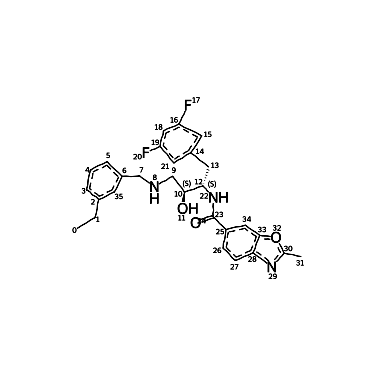 CCc1cccc(CNC[C@H](O)[C@H](Cc2cc(F)cc(F)c2)NC(=O)c2ccc3nc(C)oc3c2)c1